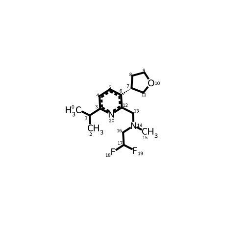 CC(C)c1ccc([C@@H]2CCOC2)c(CN(C)CC(F)F)n1